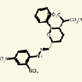 CCOC(=O)C(C(=O)OCC)[C@H]1CC[C@H](/C=N/Nc2ccc([N+](=O)[O-])cc2[N+](=O)[O-])ON1c1ccccc1